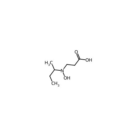 CCC(C)N(O)CCC(=O)O